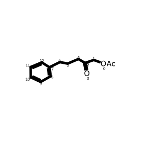 CC(=O)OCC(=O)CCCc1ccccc1